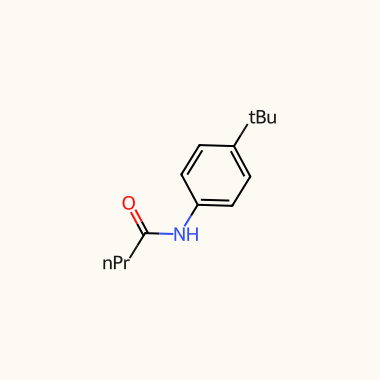 CCCC(=O)Nc1ccc(C(C)(C)C)cc1